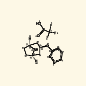 O=C(O)C(F)(F)F.c1cnnc(O[C@H]2C[C@H]3CC[C@@H](C2)N3)c1